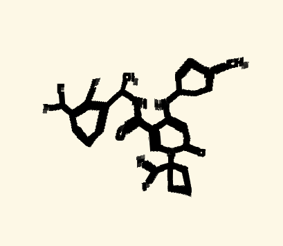 C[C@@H](NC(=O)c1cn(C2(C(F)F)CCC2)c(=O)cc1NC1CCN(C)CC1)c1cccc(C(F)F)c1F